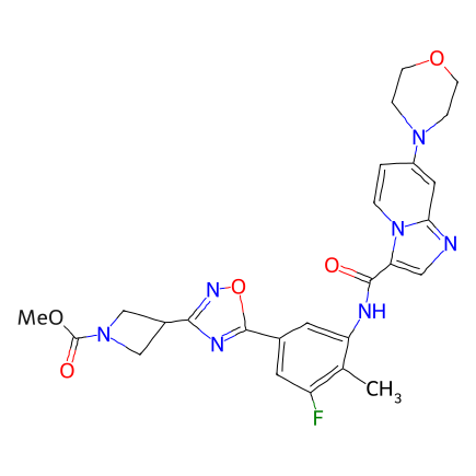 COC(=O)N1CC(c2noc(-c3cc(F)c(C)c(NC(=O)c4cnc5cc(N6CCOCC6)ccn45)c3)n2)C1